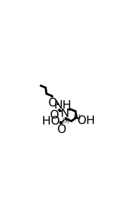 CCCCONC(=O)N1CC[C@H](O)C[C@H]1C(=O)O